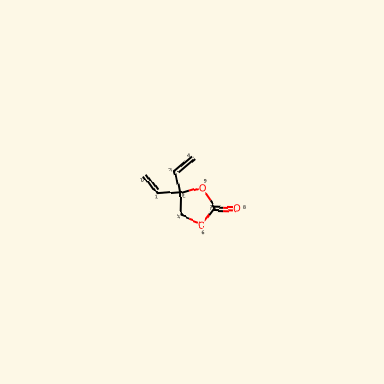 C=CC1(C=C)COC(=O)O1